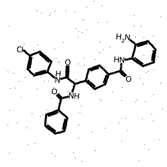 Nc1ccccc1NC(=O)c1ccc(C(NC(=O)c2ccccc2)C(=O)Nc2ccc(Cl)cc2)cc1